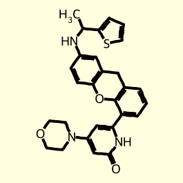 CC(Nc1ccc2c(c1)Cc1cccc(-c3cc(N4CCOCC4)cc(=O)[nH]3)c1O2)c1cccs1